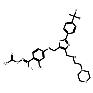 CC(=O)O/N=C(\C)c1ccc(OCc2sc(-c3ccc(C(F)(F)F)cc3)nc2CNCCN2CCOCC2)cc1C